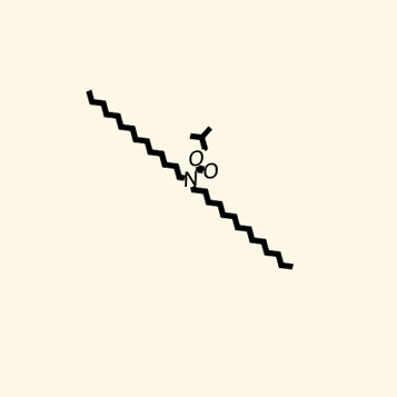 CCCCCCCCCCCCCCN(CCCCCCCCCCCCCC)C(=O)OCC(C)C